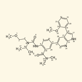 COCCN(C(=O)Nc1ccc(-c2cnc3[nH]cc(-c4ccccc4OC)c3c2)cc1C(=O)N(C)C)C(C)C